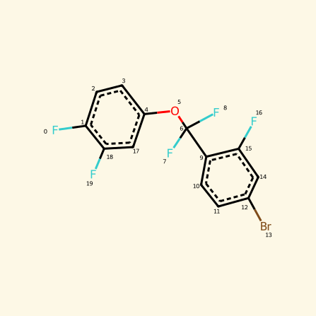 Fc1ccc(OC(F)(F)c2ccc(Br)cc2F)cc1F